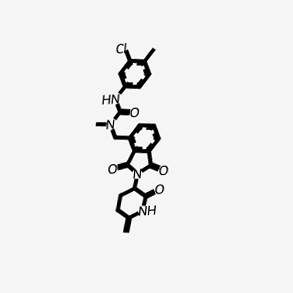 C=C1CCC(N2C(=O)c3cccc(CN(C)C(=O)Nc4ccc(C)c(Cl)c4)c3C2=O)C(=O)N1